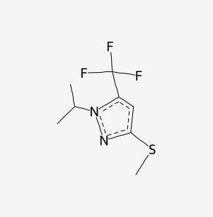 CSc1cc(C(F)(F)F)n(C(C)C)n1